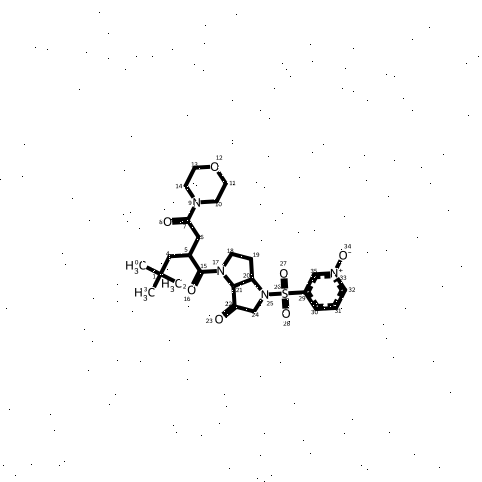 CC(C)(C)CC(CC(=O)N1CCOCC1)C(=O)N1CCC2C1C(=O)CN2S(=O)(=O)c1ccc[n+]([O-])c1